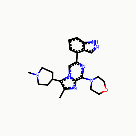 Cc1nc2c(N3CCOCC3)nc(-c3cccc4[nH]ncc34)cn2c1C1CCN(C)CC1